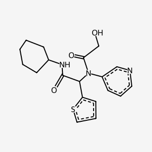 O=C(NC1CCCCC1)C(c1cccs1)N(C(=O)CO)c1cccnc1